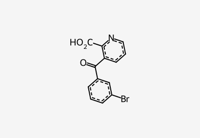 O=C(c1cccc(Br)c1)c1cccnc1C(=O)O